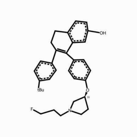 CC(C)(C)c1ccc(C2=C(c3ccc(O[C@H]4CCN(CCCF)C4)cc3)c3cc(O)ccc3CC2)cc1